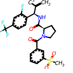 C=C(C)[C@@H](NC(=O)[C@H]1CCCN1C(=O)c1cccc(S(C)(=O)=O)c1)c1ccc(C(F)(F)F)cc1F